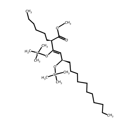 CCCCCCCCCCC[C@H](C=C(O[Si](C)(C)C)[C@@H](CCCCCC)C(=O)OC)O[Si](C)(C)C